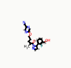 C=C(CCCOc1cnc(C#N)cn1)C(=O)N1N=CCC1c1cccc(CO)c1F